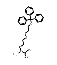 CC(C)N(C(C)C)P(C)OCCSSCCOC(c1ccccc1)(c1ccccc1)c1ccccc1